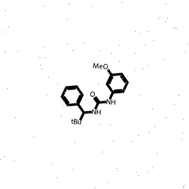 COc1cccc(NC(=O)NC(c2ccccc2)C(C)(C)C)c1